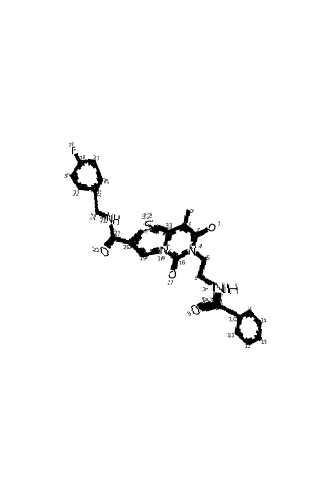 Cc1c(=O)n(CCNC(=O)c2ccccc2)c(=O)n2cc(C(=O)NCc3ccc(F)cc3)sc12